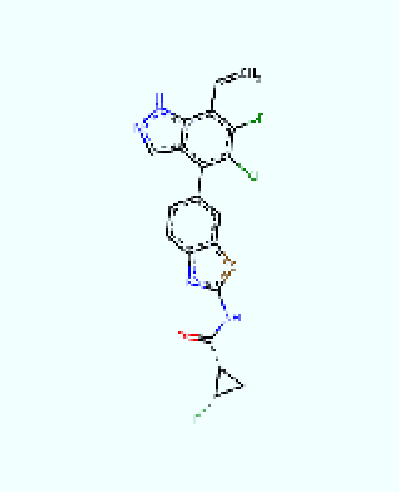 C=Cc1c(F)c(Cl)c(-c2ccc3nc(NC(=O)[C@@H]4C[C@@H]4F)sc3c2)c2cn[nH]c12